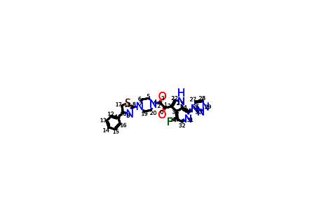 O=C(C(=O)N1CCN(C2=NC(c3ccccc3)CS2)CC1)c1c[nH]c2c(-n3ccnn3)ncc(F)c12